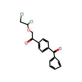 O=C(COC(Cl)CCl)c1ccc(C(=O)c2ccccc2)cc1